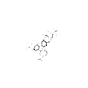 CC(C)NC(=O)CN1C=Nc2ccc(N3CCCN(C(C)C)CC3c3cc(Cl)cc(OC(F)(F)F)c3)cc2C1